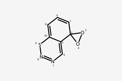 C1=CC2(OO2)C2=CN=NSC2=C1